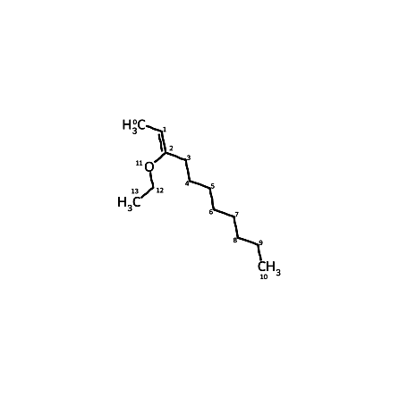 CC=C(CCCCCCCC)OCC